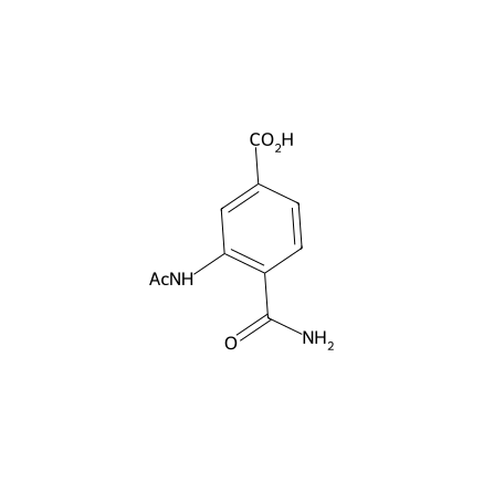 CC(=O)Nc1cc(C(=O)O)ccc1C(N)=O